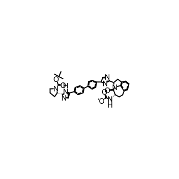 COC(=O)N[C@H]1CCc2cccc3c2N(C1=O)C(C1=NC(c2ccc(-c4ccc(-c5cnc([C@@H]6CCCN6C(=O)OC(C)(C)C)[nH]5)cc4)cc2)C=N1)C3